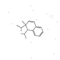 CC(C)C1c2ccccc2C=CC1(C)C(C)C